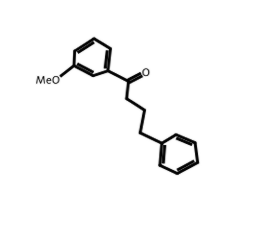 COc1cccc(C(=O)CCCc2ccccc2)c1